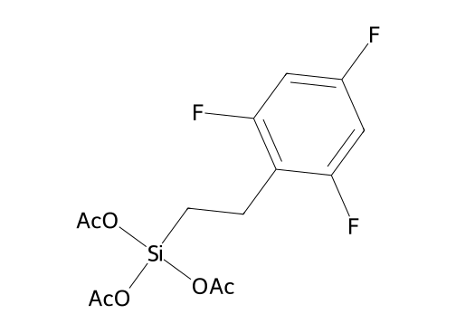 CC(=O)O[Si](CCc1c(F)cc(F)cc1F)(OC(C)=O)OC(C)=O